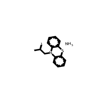 CC(I)CN1c2ccccc2Sc2ccccc21.N